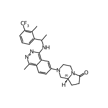 Cc1c(C(C)Nc2nnc(C)c3ccc(N4CCN5C(=O)CC[C@@H]5C4)cc23)cccc1C(F)(F)F